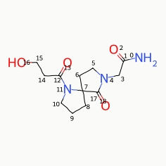 NC(=O)CN1CCC2(CCCN2C(=O)CCO)C1=O